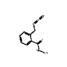 CCCNC(=O)c1ccccc1CN=[N+]=[N-]